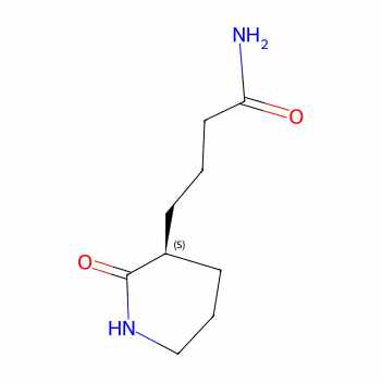 NC(=O)CCC[C@H]1CCCNC1=O